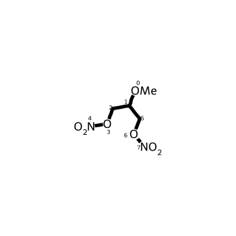 COC(CO[N+](=O)[O-])CO[N+](=O)[O-]